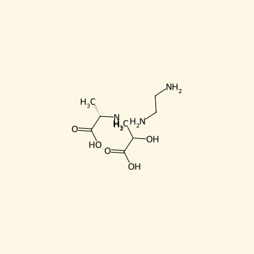 CC(O)C(=O)O.C[C@H](N)C(=O)O.NCCN